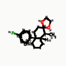 C[C@H]1[C@@H]2CCCC(C=O)[C@]2(c2ccc(F)cc2)CCC12OCCO2